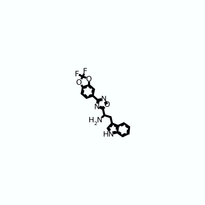 NC(Cc1c[nH]c2ccccc12)c1nc(-c2ccc3c(c2)OC(F)(F)O3)no1